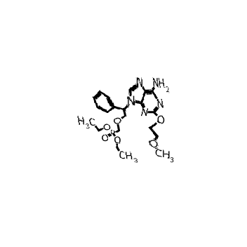 CCOP(=O)(COCC(c1ccccc1)n1cnc2c(N)nc(OCCOC)nc21)OCC